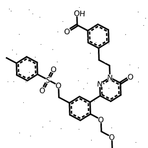 COCOc1ccc(COS(=O)(=O)c2ccc(C)cc2)cc1-c1ccc(=O)n(CCc2cccc(C(=O)O)c2)n1